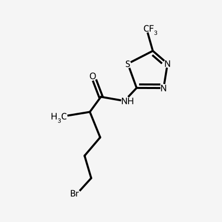 CC(CCCBr)C(=O)Nc1nnc(C(F)(F)F)s1